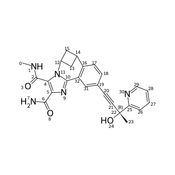 CNC(=O)c1c(C(N)=O)nc2n1C1CC(C1)c1ccc(C#C[C@@](C)(O)c3ccccn3)cc1-2